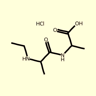 CCNC(C)C(=O)NC(C)C(=O)O.Cl